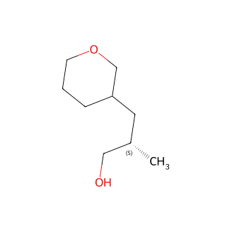 C[C@H](CO)CC1CCCOC1